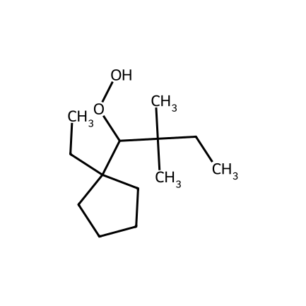 CCC(C)(C)C(OO)C1(CC)CCCC1